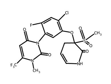 Cn1c(C(F)(F)F)cc(=O)n(-c2cc(OC3(S(C)(=O)=O)CC=CNC3=O)c(Cl)cc2F)c1=O